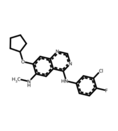 CNc1cc2c(Nc3ccc(F)c(Cl)c3)ncnc2cc1OC1CCCC1